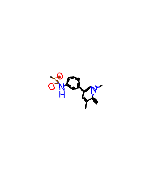 C=C1C(C)=CC(c2cccc(NS(C)(=O)=O)c2)=CN1C